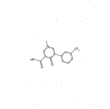 CCCC(=O)c1cn(C)cc(-c2cccc(C(F)(F)F)c2)c1=O